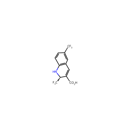 O=C(O)C1=Cc2cc(C(F)(F)F)ccc2N[C@@H]1C(F)(F)F